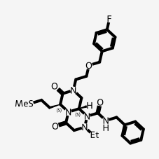 CCN1CC(=O)N2[C@@H](CCSC)C(=O)N(CCOCc3ccc(F)cc3)C[C@@H]2N1C(=O)NCc1ccccc1